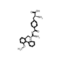 COc1cccc(CNC(N)=NC(=O)c2ccc(C[C@H](N)C(=O)O)cc2)c1-c1ccccc1